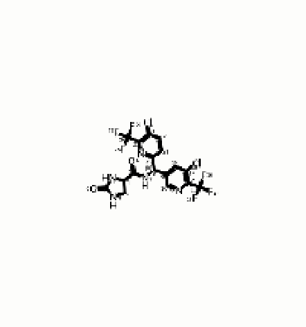 O=C1NCC(C(=O)N[C@H](c2cnc(C(F)(F)F)c(Cl)c2)c2ccc(Cl)c(C(F)(F)F)n2)N1